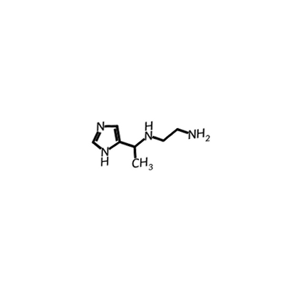 CC(NCCN)c1cnc[nH]1